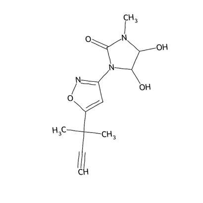 C#CC(C)(C)c1cc(N2C(=O)N(C)C(O)C2O)no1